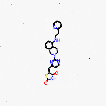 O=C1NC(=O)/C(=C\c2ccnc(N3CCc4c(cccc4NCCc4ccccn4)C3)n2)S1